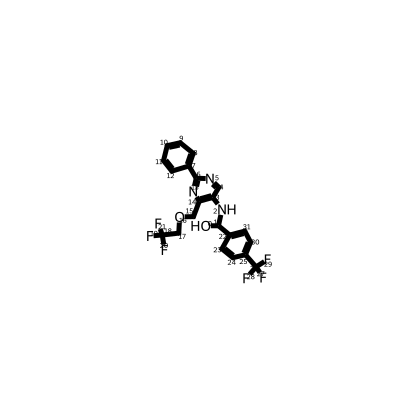 OC(Nc1cnc(-c2ccccc2)nc1COCC(F)(F)F)c1ccc(C(F)(F)F)cc1